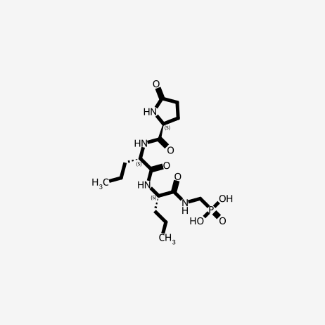 CCC[C@H](NC(=O)[C@H](CCC)NC(=O)[C@@H]1CCC(=O)N1)C(=O)NCP(=O)(O)O